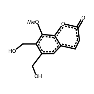 COc1c(CO)c(CO)cc2ccc(=O)oc12